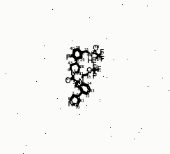 O=C(c1cc2c(-c3ccncc3)cccc2n1CCOC(F)(F)F)N1CCC(c2cc(CNC(=O)C(F)(F)F)ccc2F)CC1